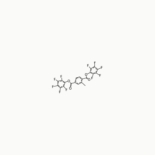 Cc1cc(C(=O)Oc2c(F)c(F)c(F)c(F)c2F)ccc1C(=O)Oc1c(F)c(F)c(F)c(F)c1F